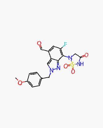 COc1ccc(Cn2cc3c(C=O)cc(F)c(N4CC(=O)NS4(=O)=O)c3n2)cc1